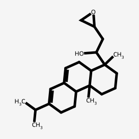 CC(C)C1=CC2=CCC3C(C)(C(O)CC4CO4)CCCC3(C)C2CC1